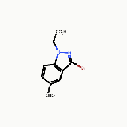 O=Cc1ccc2c(c1)c(Br)nn2CC(=O)O